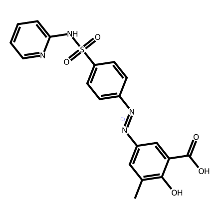 Cc1cc(/N=N/c2ccc(S(=O)(=O)Nc3ccccn3)cc2)cc(C(=O)O)c1O